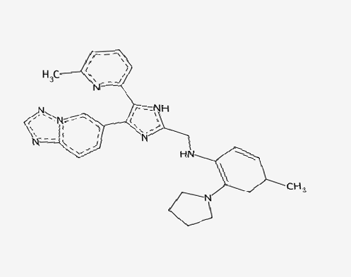 Cc1cccc(-c2[nH]c(CNC3=C(N4CCCC4)CC(C)C=C3)nc2-c2ccc3ncnn3c2)n1